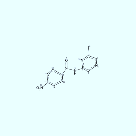 Cc1cncc(NC(=O)c2ccc([N+](=O)[O-])cc2)n1